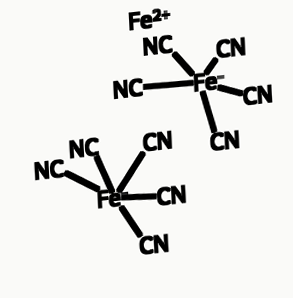 N#[C][Fe-]([C]#N)([C]#N)([C]#N)[C]#N.N#[C][Fe-]([C]#N)([C]#N)([C]#N)[C]#N.[Fe+2]